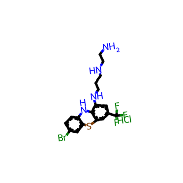 Cl.NCCNCCCNc1cc(C(F)(F)F)cc2c1Nc1ccc(Br)cc1S2